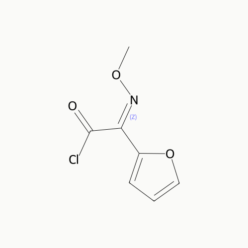 CO/N=C(\C(=O)Cl)c1ccco1